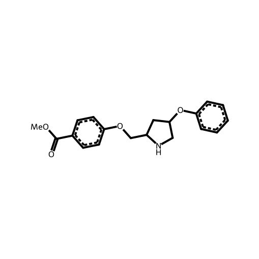 COC(=O)c1ccc(OCC2CC(Oc3ccccc3)CN2)cc1